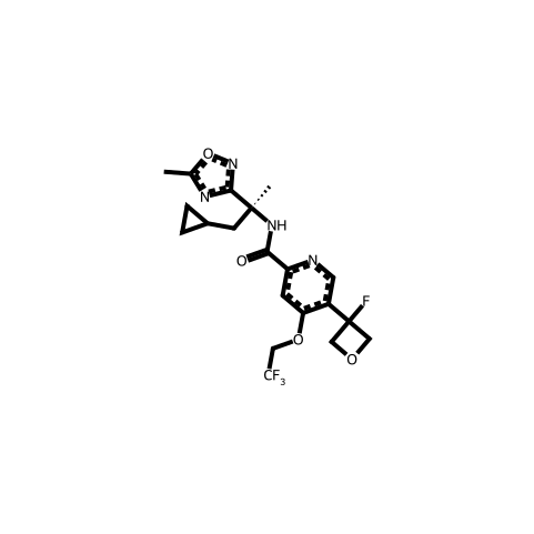 Cc1nc([C@](C)(CC2CC2)NC(=O)c2cc(OCC(F)(F)F)c(C3(F)COC3)cn2)no1